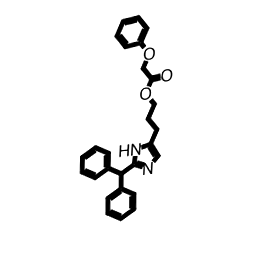 O=C(COc1ccccc1)OCCCc1cnc(C(c2ccccc2)c2ccccc2)[nH]1